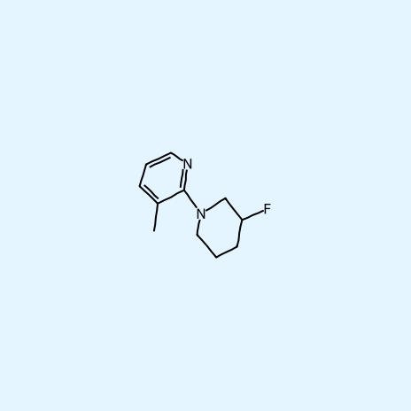 Cc1cccnc1N1CCCC(F)C1